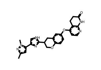 Cc1cc(-c2c[nH]c(C3COc4ccc(Oc5ccnc6c5CCC(=O)N6)cc4C3)n2)n(C)n1